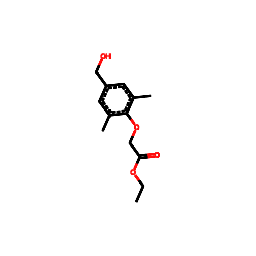 CCOC(=O)COc1c(C)cc(CO)cc1C